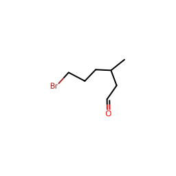 CC(CC=O)CCCBr